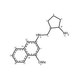 COc1cc(NCC2CCCC2N)nc2ccccc12